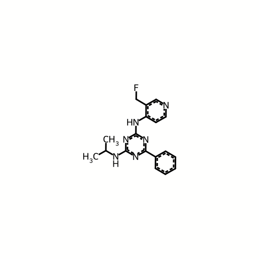 CC(C)Nc1nc(Nc2ccncc2CF)nc(-c2ccccc2)n1